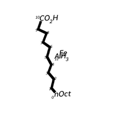 CCCCCCCCCCCCCCCCCC(=O)O.[AlH3].[Fe]